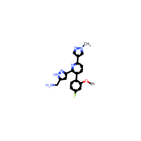 CC(C)Oc1cc(F)ccc1-c1ccc(-c2cnn(C)c2)nc1-c1cc(CN)[nH]n1